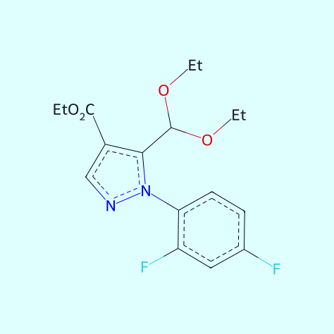 CCOC(=O)c1cnn(-c2ccc(F)cc2F)c1C(OCC)OCC